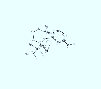 [2H]O[C@@]1(c2cccc(OC)c2)C([2H])([2H])CCC[C@@]1([2H])C([2H])([2H])N(C)C